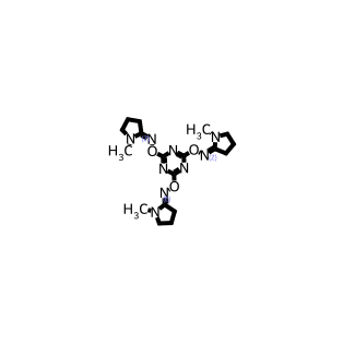 CN1CCC/C1=N/Oc1nc(O/N=C2/CCCN2C)nc(O/N=C2\CCCN2C)n1